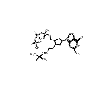 CC(C)(I)SSCO[C@@H]1C[C@H](n2cnc3c(=O)[nH]c(N)nc32)O[C@@H]1COP(=O)(O)OP(=O)(O)OP(=O)(O)O